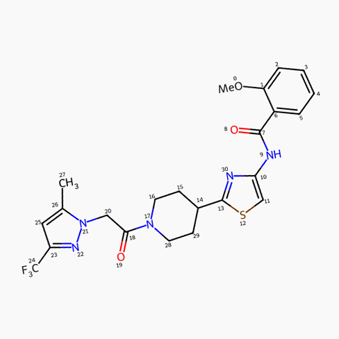 COc1ccccc1C(=O)Nc1csc(C2CCN(C(=O)Cn3nc(C(F)(F)F)cc3C)CC2)n1